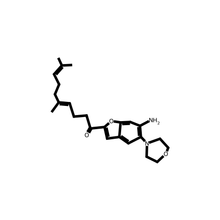 CC(C)=CCC/C(C)=C/CCC(=O)c1cc2cc(N3CCOCC3)c(N)cc2o1